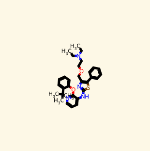 CCN(CC)CCOCc1nc(Nc2cccnc2Oc2ccccc2C(C)(C)C)sc1-c1ccccc1